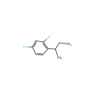 CCC(C)c1ccc(F)cc1F